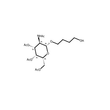 CC(=O)N[C@H]1[C@H](OCCCCO)O[C@H](COC(C)=O)[C@H](OC(C)=O)[C@@H]1OC(C)=O